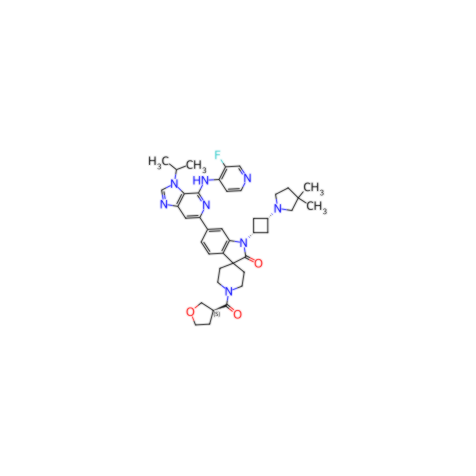 CC(C)n1cnc2cc(-c3ccc4c(c3)N([C@H]3C[C@@H](N5CCC(C)(C)C5)C3)C(=O)C43CCN(C(=O)[C@H]4CCOC4)CC3)nc(Nc3ccncc3F)c21